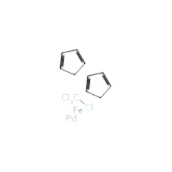 C1=CCC=C1.C1=CCC=C1.ClC(Cl)(Cl)Cl.[Fe].[Pd]